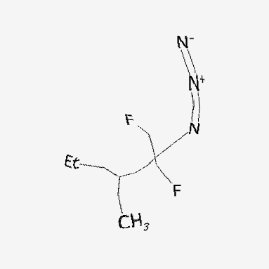 CCC(C)C(F)(F)N=[N+]=[N-]